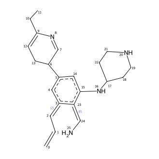 C=C/C=c1/cc(C2C=NC(CC)=CC2)cc(NC2CCNCC2)/c1=C/N